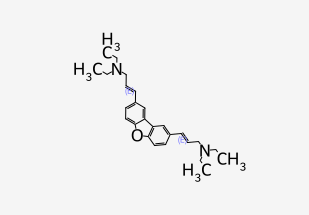 CCN(CC)C/C=C/c1ccc2oc3ccc(/C=C/CN(CC)CC)cc3c2c1